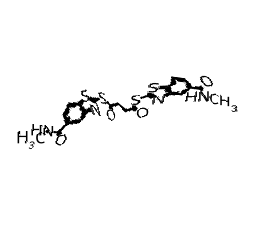 CNC(=O)c1ccc2sc(SC(=O)CCC(=O)Sc3nc4cc(C(=O)NC)ccc4s3)nc2c1